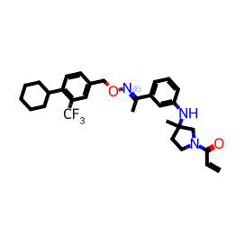 C=CC(=O)N1CCC(C)(Nc2cccc(/C(C)=N/OCc3ccc(C4CCCCC4)c(C(F)(F)F)c3)c2)C1